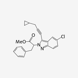 COC(=O)C(Cc1ccccc1)n1nc2ccc(Cl)cc2c1C#CCC1CC1